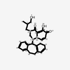 CC(CO)CN1CN(C2C3=C(C=CCC3)CCc3ccccc32)n2ccc(=O)c(O)c2C1=O